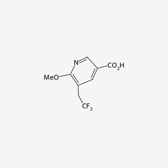 COc1ncc(C(=O)O)cc1CC(F)(F)F